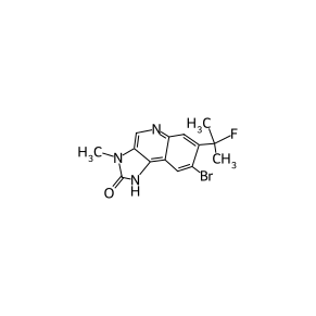 Cn1c(=O)[nH]c2c3cc(Br)c(C(C)(C)F)cc3ncc21